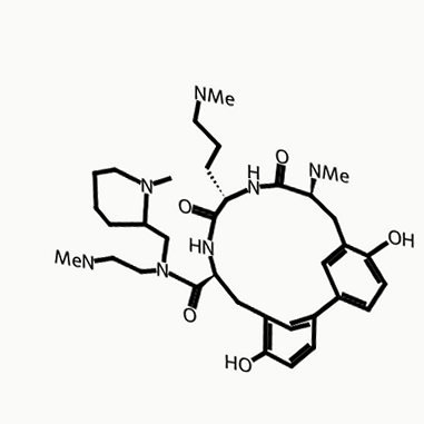 CNCCC[C@@H]1NC(=O)[C@@H](NC)Cc2cc(ccc2O)-c2ccc(O)c(c2)C[C@@H](C(=O)N(CCNC)CC2CCCCN2C)NC1=O